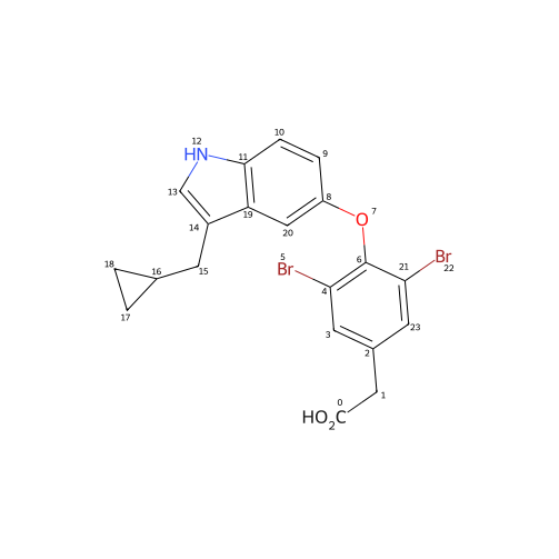 O=C(O)Cc1cc(Br)c(Oc2ccc3[nH]cc(CC4CC4)c3c2)c(Br)c1